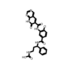 O=C(O)NCCC(NC(=O)c1ccc(Cl)c(NC(=O)c2cc3cncnc3[nH]c2=O)c1)c1ccccc1